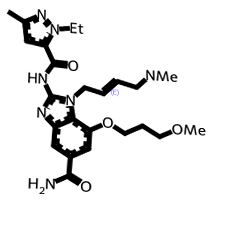 CCn1nc(C)cc1C(=O)Nc1nc2cc(C(N)=O)cc(OCCCOC)c2n1C/C=C/CNC